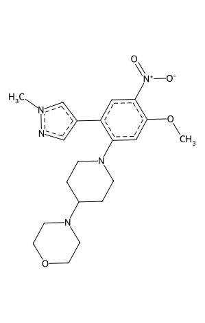 COc1cc(N2CCC(N3CCOCC3)CC2)c(-c2cnn(C)c2)cc1[N+](=O)[O-]